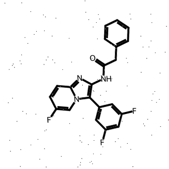 O=C(Cc1ccccc1)Nc1nc2ccc(F)cn2c1-c1cc(F)cc(F)c1